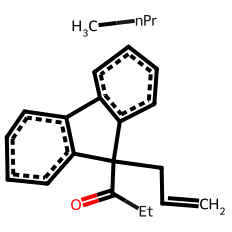 C=CCC1(C(=O)CC)c2ccccc2-c2ccccc21.CCCC